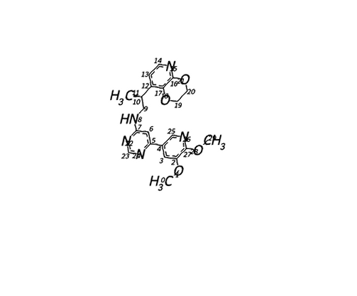 COc1cc(-c2cc(NC[C@@H](C)c3ccnc4c3OCCO4)ncn2)cnc1OC